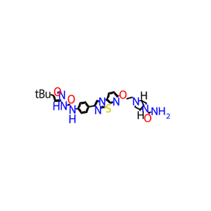 CC(C)(C)c1cc(NC(=O)Nc2ccc(-c3cn4c(n3)sc3nc(OCCN5C[C@@H]6C[C@H]5CN6C(N)=O)ccc34)cc2)no1